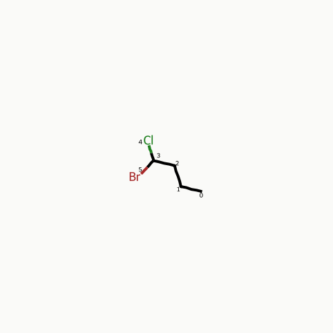 CCCC(Cl)Br